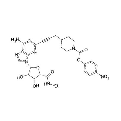 CCNC(=O)[C@H]1O[C@@H](n2cnc3c(N)nc(C#CCC4CCN(C(=O)Oc5ccc([N+](=O)[O-])cc5)CC4)nc32)C(O)[C@H]1O